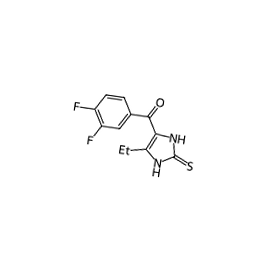 CCc1[nH]c(=S)[nH]c1C(=O)c1ccc(F)c(F)c1